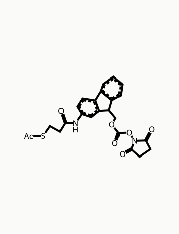 CC(=O)SCCC(=O)Nc1ccc2c(c1)C(COC(=O)ON1C(=O)CCC1=O)c1ccccc1-2